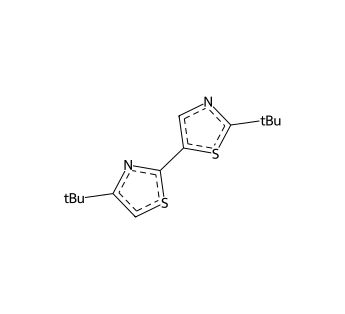 CC(C)(C)c1csc(-c2cnc(C(C)(C)C)s2)n1